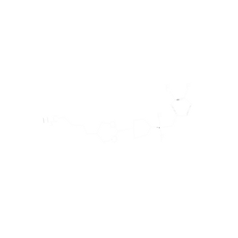 CCCCCC1COC([C@H]2CC[C@H](C(F)(F)Cc3ccc(F)c(F)c3)CC2)OC1